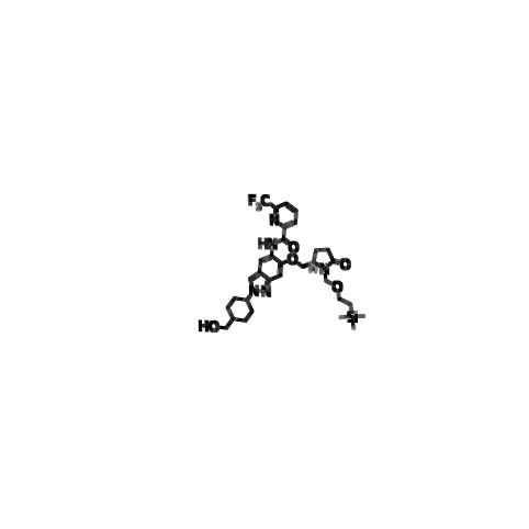 C[Si](C)(C)CCOCN1C(=O)CC[C@@H]1COc1cc2nn(C3CCC(CO)CC3)cc2cc1NC(=O)c1cccc(C(F)(F)F)n1